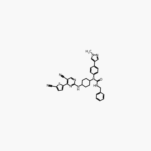 Cn1cc(-c2ccc(N(C(=O)NCc3ccccc3)C3CCC(Nc4ncc(C#N)c(-c5ccc(C#N)s5)n4)CC3)cc2)cn1